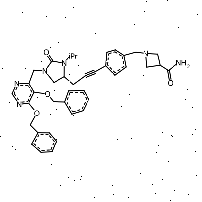 CC(C)N1C(=O)N(Cc2ncnc(OCc3ccccc3)c2OCc2ccccc2)CC1CC#Cc1ccc(CN2CC(C(N)=O)C2)cc1